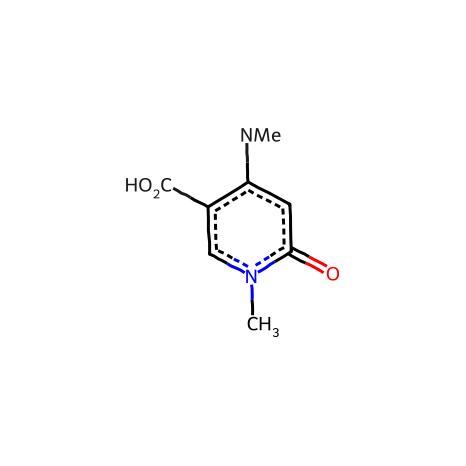 CNc1cc(=O)n(C)cc1C(=O)O